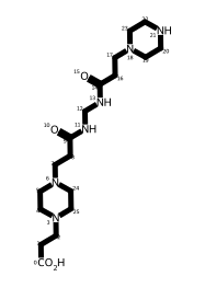 O=C(O)CCN1CCN(CCC(=O)NCNC(=O)CCN2CCNCC2)CC1